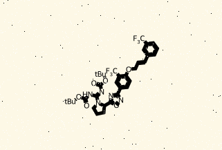 CC(C)(C)OC(=O)N=C(NC(=O)OC(C)(C)C)N1CCCC1c1nc(-c2ccc(OC/C=C/c3cccc(C(F)(F)F)c3)c(C(F)(F)F)c2)no1